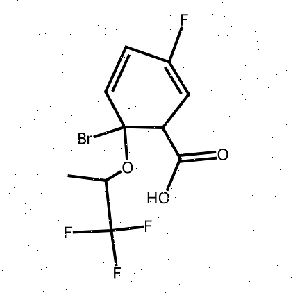 CC(OC1(Br)C=CC(F)=CC1C(=O)O)C(F)(F)F